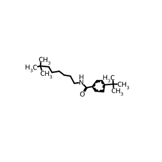 CC(C)(C)CCCCCCNC(=O)c1ccc(C(C)(C)C)cc1